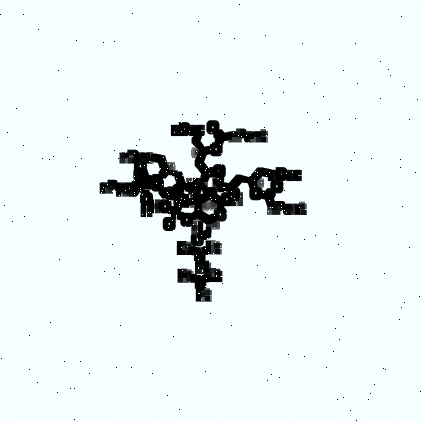 CCCCCCCCCCC[C@H](CC(=O)NC1(NC(=O)C[C@@H](CCCCCCCCCCC)OC(=O)CCCCC)[C@H](O)O[C@H](CO)[C@@H](OP(=O)(O)O)[C@]1(CCCOP(=O)(O)O)OC(=O)C[C@@H](CCCCCCCCCCC)OC(=O)CCCCC)OC(=O)CCCCC.CCN(CC)CC.CCN(CC)CC